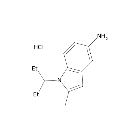 CCC(CC)n1c(C)cc2cc(N)ccc21.Cl